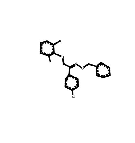 Cc1cccc(C)c1OCC(=NOCc1ccccc1)c1ccc(Cl)cc1